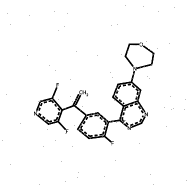 C=C(c1ccc(F)c(-c2ncnc3cc(N4CCOCC4)ccc23)c1)c1c(F)cncc1F